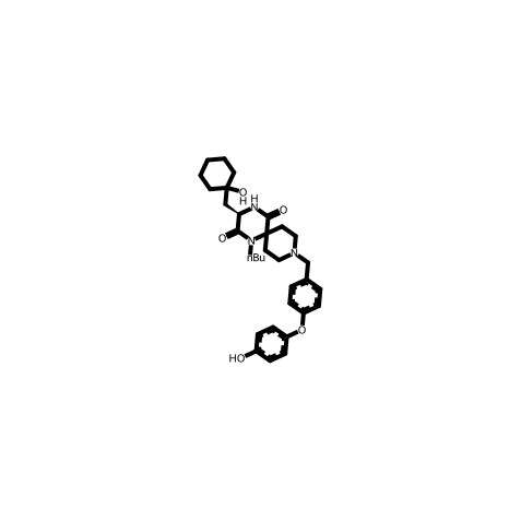 CCCCN1C(=O)[C@@H](CC2(O)CCCCC2)NC(=O)C12CCN(Cc1ccc(Oc3ccc(O)cc3)cc1)CC2